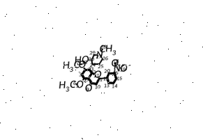 COc1cc(OC)c2c(=O)cc(-c3cccc([N+](=O)[O-])c3)oc2c1[C@H]1CCN(C)C[C@H]1O